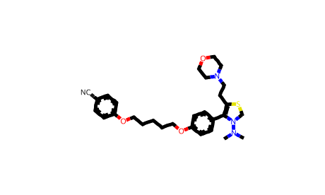 CN(C)N1CSC(CCN2CCOCC2)=C1c1ccc(OCCCCCOc2ccc(C#N)cc2)cc1